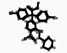 COC(=O)C(c1ccc(Cl)cc1)(c1ccc(Cl)cc1)c1ccc([N+](=O)[O-])c(NCC2CCOCC2)c1